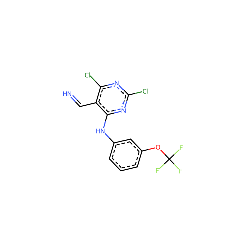 N=Cc1c(Cl)nc(Cl)nc1Nc1cccc(OC(F)(F)F)c1